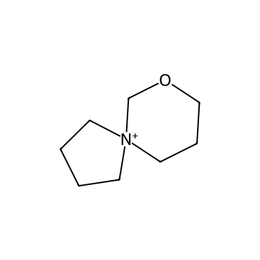 C1CC[N+]2(C1)CCCOC2